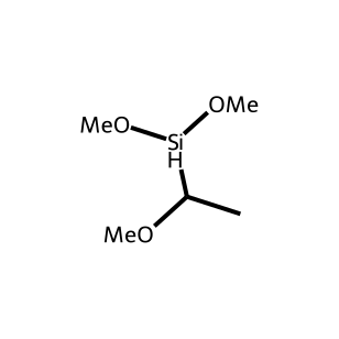 COC(C)[SiH](OC)OC